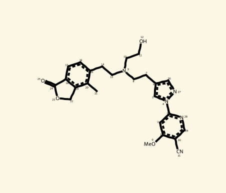 COc1cc(-n2cc(CCN(CCO)CCc3ccc4c(c3C)COC4=O)cn2)ncc1C#N